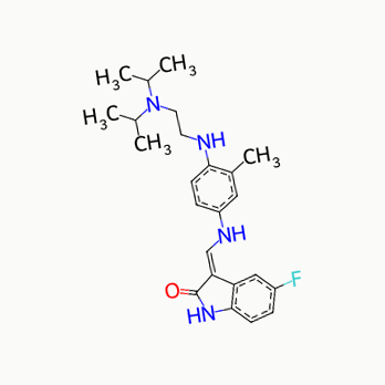 Cc1cc(N/C=C2/C(=O)Nc3ccc(F)cc32)ccc1NCCN(C(C)C)C(C)C